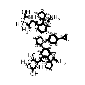 CC(C)[C@H](NC(=O)O)C(=O)N1CCC[C@@]1(C(N)=O)c1ccc([C@H]2CC[C@H](c3ccc([C@]4(C(N)=O)CCCN4C(=O)[C@@H](NC(=O)O)C(C)C)cc3)N2c2ccc(C3CC3)cc2)cc1